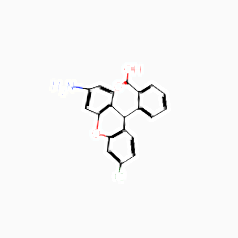 Nc1ccc2c(c1)Oc1cc(Cl)ccc1C2c1ccccc1C(=O)O